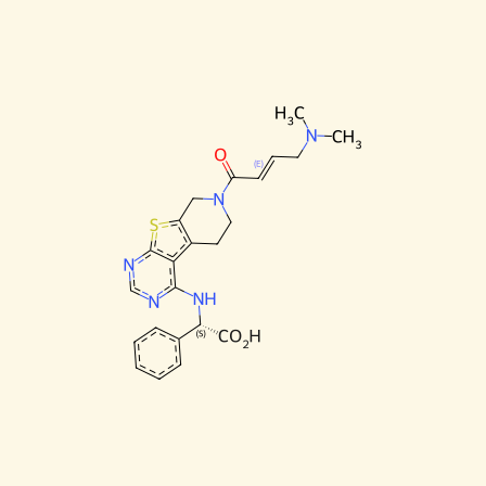 CN(C)C/C=C/C(=O)N1CCc2c(sc3ncnc(N[C@H](C(=O)O)c4ccccc4)c23)C1